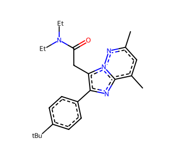 CCN(CC)C(=O)Cc1c(-c2ccc(C(C)(C)C)cc2)nc2c(C)cc(C)nn12